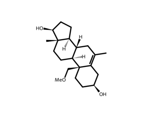 COC[C@]12CC[C@H](O)CC1=C(C)C[C@@H]1[C@@H]2CC[C@]2(C)[C@@H](O)CC[C@@H]12